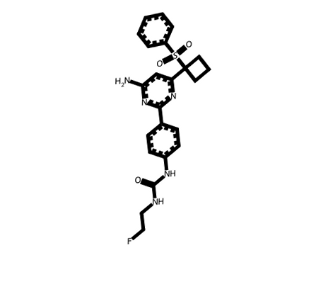 Nc1cc(C2(S(=O)(=O)c3ccccc3)CCC2)nc(-c2ccc(NC(=O)NCCF)cc2)n1